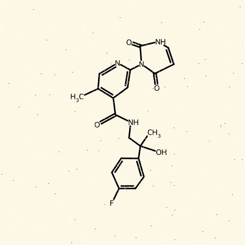 Cc1cnc(-n2c(=O)cc[nH]c2=O)cc1C(=O)NCC(C)(O)c1ccc(F)cc1